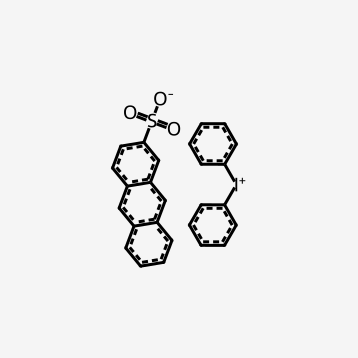 O=S(=O)([O-])c1ccc2cc3ccccc3cc2c1.c1ccc([I+]c2ccccc2)cc1